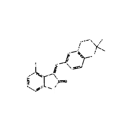 Cc1cccc2c1/C(=C/c1ccc3c(c1)CCC(C)(C)O3)C(=O)N2